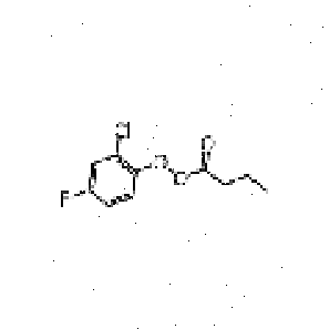 CCCC(=O)OOc1ccc(F)cc1Cl